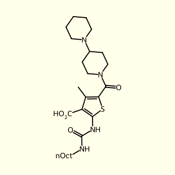 CCCCCCCCNC(=O)Nc1sc(C(=O)N2CCC(N3CCCCC3)CC2)c(C)c1C(=O)O